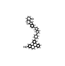 O=C1c2ccc(N3CCC4(CCN(C5CCN(c6ccc(C7c8ccc(O)cc8CCC7c7ccccc7)cc6)CC5)C4)C3)cc2CN1N1C(=O)CCCC1=O